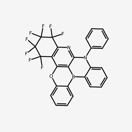 FC1(F)c2nc3c4c(c2C(F)(F)C(F)(F)C1(F)F)Oc1ccccc1B4c1ccccc1N3c1ccccc1